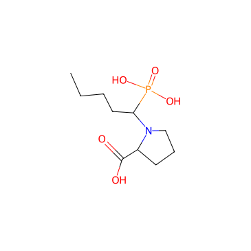 CCCCC(N1CCCC1C(=O)O)P(=O)(O)O